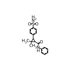 CC1(C)C(C(=O)Nc2ccccc2)C1c1ccc(S(N)(=O)=O)cc1